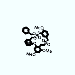 COc1cc(OC)c(/C=C/S(=O)(=O)Cc2ccc(OC)c(SP(=O)(OCc3ccccc3)OCc3ccccc3)c2)c(OC)c1